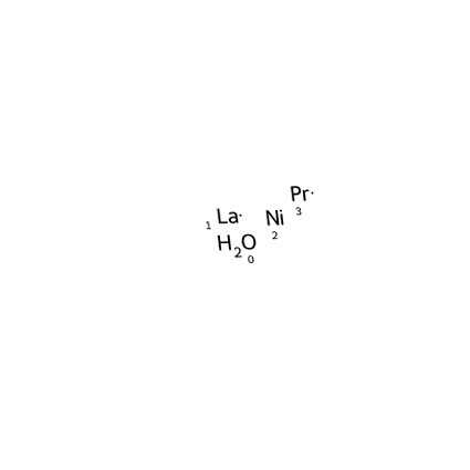 O.[La].[Ni].[Pr]